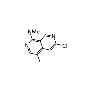 CNc1ncc(C)c2cc(Cl)ncc12